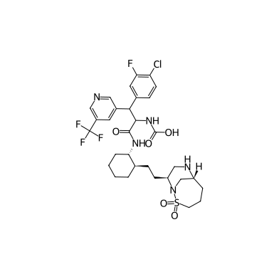 O=C(O)NC(C(=O)N[C@H]1CCCC[C@@H]1CC[C@H]1CN[C@@H]2CCCS(=O)(=O)N1C2)C(c1cncc(C(F)(F)F)c1)c1ccc(Cl)c(F)c1